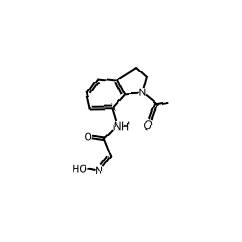 CC(=O)N1CCc2cccc(NC(=O)/C=N\O)c21